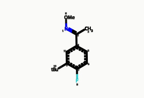 CON=C(C)c1ccc(F)c(C(C)(C)C)c1